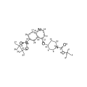 CC(C)(C)OC(=O)N1CCC(Oc2ccnc3ccc(B4OC(C)(C)C(C)(C)O4)cc23)CC1